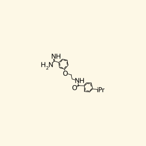 CC(C)c1ccc(C(=O)NCCOc2cccc(C(=N)N)c2)cc1